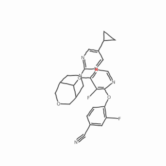 N#Cc1ccc(Oc2ncnc(OC3C4COCC3CN(c3ncc(C5CC5)cn3)C4)c2F)c(F)c1